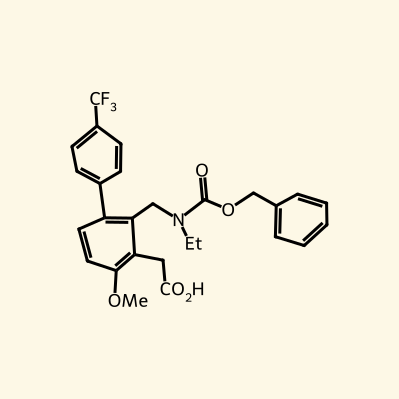 CCN(Cc1c(-c2ccc(C(F)(F)F)cc2)ccc(OC)c1CC(=O)O)C(=O)OCc1ccccc1